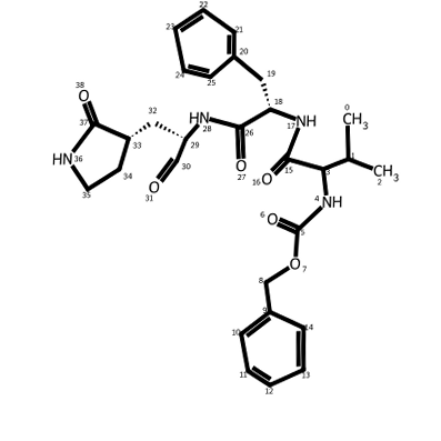 CC(C)C(NC(=O)OCc1ccccc1)C(=O)N[C@@H](Cc1ccccc1)C(=O)N[C@H](C=O)C[C@@H]1CCNC1=O